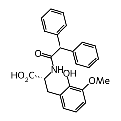 COc1cccc(C[C@@H](NC(=O)C(c2ccccc2)c2ccccc2)C(=O)O)c1O